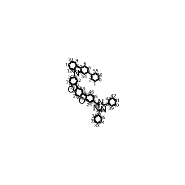 c1ccc(-c2ccc3c4ccccc4n(-c4ccc5oc6cc7oc8cc(-c9nc(-c%10ccccc%10)nc(-c%10ccccc%10)n9)ccc8c7cc6c5c4)c3c2)cc1